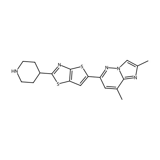 Cc1cn2nc(-c3cc4sc(C5CCNCC5)nc4s3)cc(C)c2n1